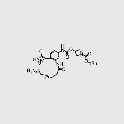 CC(C)(C)OC(=O)N1CC(OC(=O)Nc2ccc3c(c2)NC(=O)CC/C=C/C[C@H](N)c2nc-3c(Cl)[nH]2)C1